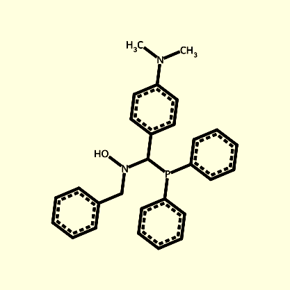 CN(C)c1ccc(C(N(O)Cc2ccccc2)P(c2ccccc2)c2ccccc2)cc1